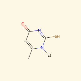 CCn1c(C)[c]c(=O)nc1S